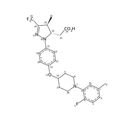 Cc1ccc(F)c(N2CCC(Oc3ccc(N4N=C(C(F)(F)F)[C@@H](C)[C@@H]4CC(=O)O)cc3)CC2)c1